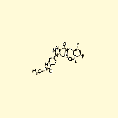 CCNC(=O)c1ccc(-n2nnc(C(=O)NCc3ccc(F)cc3F)c2CSC)cc1